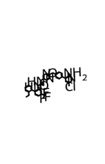 CCc1ccccc1-c1ccc(C(F)(F)F)cc1NC(=O)Nc1cnc(Oc2ccc(-c3cc(Cl)cnc3N)cc2)nc1